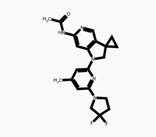 CC(=O)Nc1cc2c(cn1)C1(CC1)CN2c1cc(C)cc(N2CCC(F)(F)C2)n1